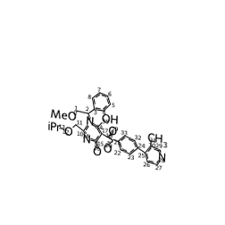 COCC(c1ccccc1)n1c(COC(C)C)nc(=O)c(S(=O)(=O)c2ccc(-c3ccncc3C)cc2)c1O